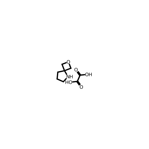 C1CNC2(C1)COC2.O=C(O)C(=O)O